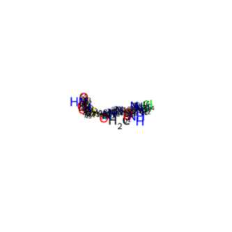 C=CC(=O)Nc1cc2c(Nc3ccc(F)c(Cl)c3)ncnc2cc1OCCCN1CCC(N2CCN(C(=O)CCCCSc3cccc4c3CN(C3CCC(=O)NC3=O)C4=O)CC2)CC1